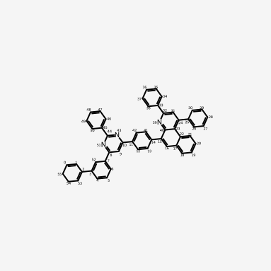 C1=CC(c2cccc(-c3cc(-c4ccc(-c5cc6ccccc6c6c(-c7ccccc7)cc(-c7ccccc7)nc56)cc4)nc(-c4ccccc4)n3)c2)=CCC1